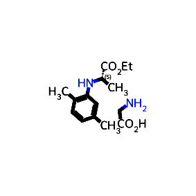 CCOC(=O)[C@H](C)Nc1cc(C)ccc1C.NCC(=O)O